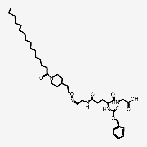 CCCCCCCCCCCCCCCC(=O)N1CCC(CCO/N=C\CNC(=O)CCC(NC(=O)OCc2ccccc2)C(=O)NCC(=O)O)CC1